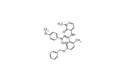 Cc1ccc(OCc2ccccc2)cc1/C(=N\N(C=O)c1ccc(OC(F)(F)F)cc1)Nc1cccn(C)c1=O